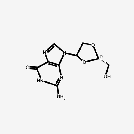 Nc1nc2c(ncn2C2CO[C@H](CO)O2)c(=O)[nH]1